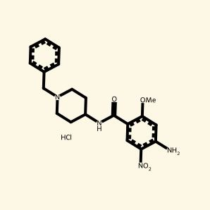 COc1cc(N)c([N+](=O)[O-])cc1C(=O)NC1CCN(Cc2ccccc2)CC1.Cl